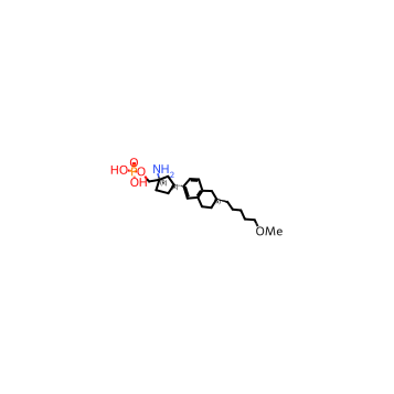 COCCCCC[C@H]1CCc2cc([C@@H]3CC[C@](N)(COP(=O)(O)O)C3)ccc2C1